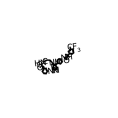 CC(C)(C(=O)Nc1ccc(-c2cnc3nc2NCCCNS(=O)(=O)c2cccc(c2)N3)cc1)c1cccc(C(F)(F)F)c1